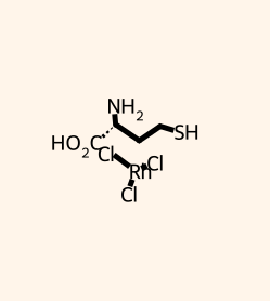 N[C@H](CCS)C(=O)O.[Cl][Rh]([Cl])[Cl]